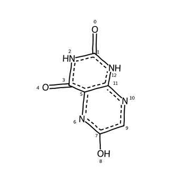 O=c1[nH]c(=O)c2nc(O)cnc2[nH]1